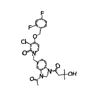 CC(=O)N1CN(C(=O)CC(C)(C)O)c2ccc(Cn3ccc(OCc4ccc(F)cc4F)c(Cl)c3=O)cc21